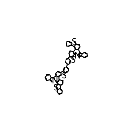 c1ccc2c(c1)cn1c2c2ccc3c4cc(-c5ccc6c(c5)sc5c6ccc6c7c(ccc8sc9ccccc9c87)c7c8ccccc8cn7c65)ccc4sc3c2c2ccc3c4ccccc4sc3c21